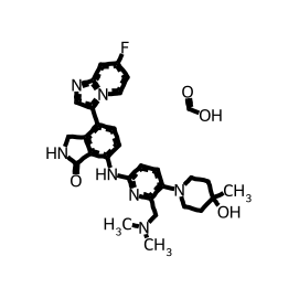 CN(C)Cc1nc(Nc2ccc(-c3cnc4cc(F)ccn34)c3c2C(=O)NC3)ccc1N1CCC(C)(O)CC1.O=CO